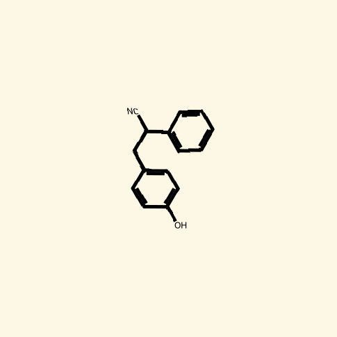 N#CC(Cc1ccc(O)cc1)c1ccccc1